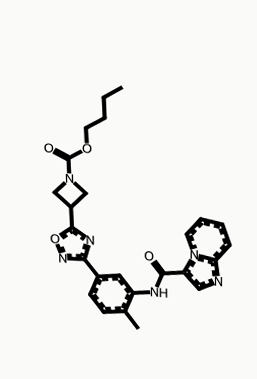 CCCCOC(=O)N1CC(c2nc(-c3ccc(C)c(NC(=O)c4cnc5ccccn45)c3)no2)C1